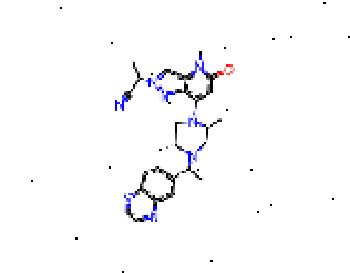 CC(c1ccc2nccnc2c1)N1C[C@H](C)N(c2cc(=O)n(C)c3cn(C(C)C#N)nc23)C[C@H]1C